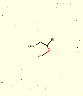 CCC(CC=O)OC(C)C